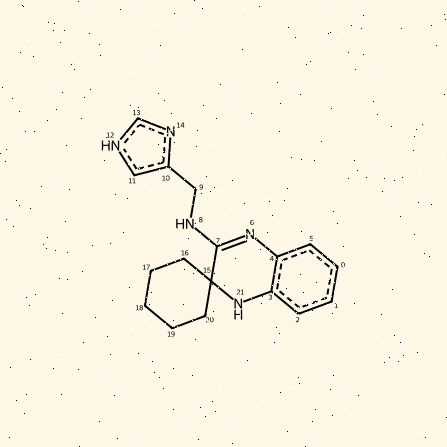 c1ccc2c(c1)N=C(NCc1c[nH]cn1)C1(CCCCC1)N2